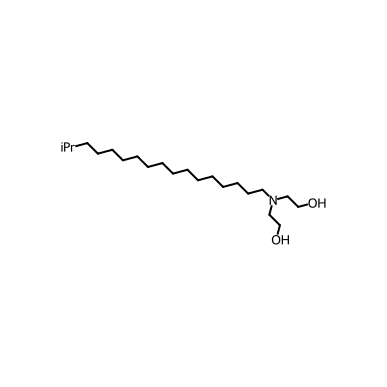 CC(C)CCCCCCCCCCCCCCCN(CCO)CCO